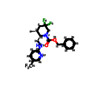 C[C@@H]1CC(F)(F)CN(C(=O)OCc2ccccc2)[C@@H]1CNc1ccc(C(F)(F)F)cn1